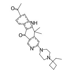 CCC1(N2CCN(c3cc4c(cn3)C(=O)c3c([nH]c5cc(C(C)=O)ccc35)C4(C)C)CC2)CCC1